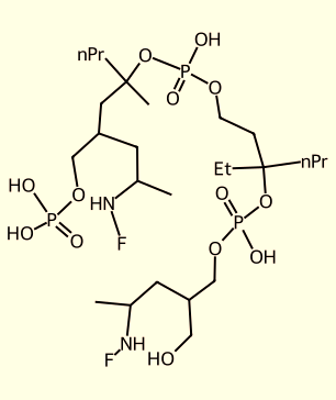 CCCC(C)(CC(COP(=O)(O)O)CC(C)NF)OP(=O)(O)OCCC(CC)(CCC)OP(=O)(O)OCC(CO)CC(C)NF